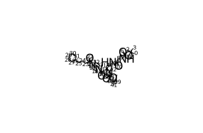 CC(C)(C)OC(=O)NCC(=O)NC1C[C@@H](C(=O)N2CCN(C(=O)CCCc3ccccc3)CC2)N(C(=O)OC(C)(C)C)C1